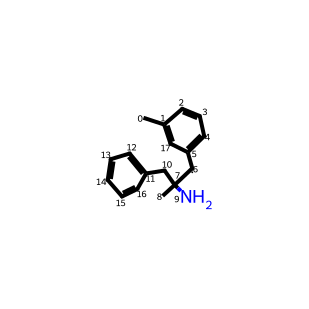 Cc1cccc([CH]C(C)(N)Cc2ccccc2)c1